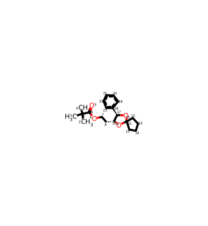 CC(C)(C)C(=O)OCC[C@H]1OC2(CCCC2)O[C@@H]1c1ccccc1